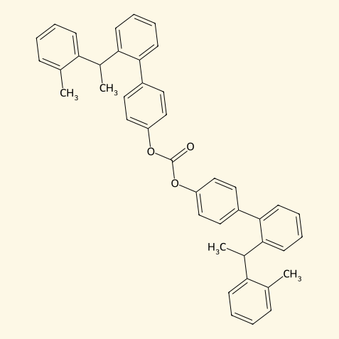 Cc1ccccc1C(C)c1ccccc1-c1ccc(OC(=O)Oc2ccc(-c3ccccc3C(C)c3ccccc3C)cc2)cc1